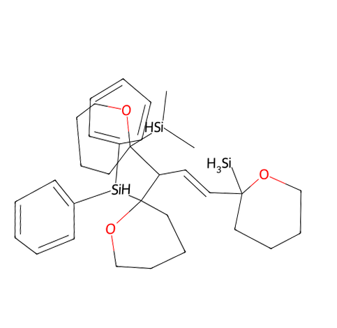 C[SiH](C)C1(C(C=CC2([SiH3])CCCCO2)C2([SiH](c3ccccc3)c3ccccc3)CCCCO2)CCCCO1